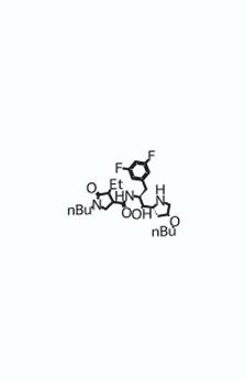 CCCCO[C@H]1CN[C@@H]([C@@H](O)[C@H](Cc2cc(F)cc(F)c2)NC(=O)C2CN(CCCC)C(=O)C2CC)C1